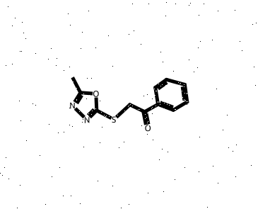 Cc1nnc(SCC(=O)c2ccccc2)o1